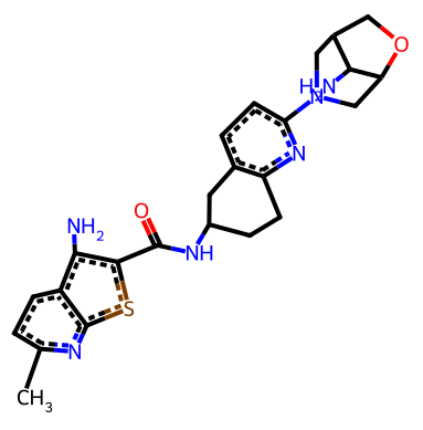 Cc1ccc2c(N)c(C(=O)NC3CCc4nc(N5CC6COC(C5)C6N)ccc4C3)sc2n1